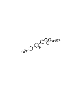 CCCCCCOC(=O)Oc1ccc(-c2ccc([C@H]3CC[C@H](CCC)CC3)cc2F)cc1